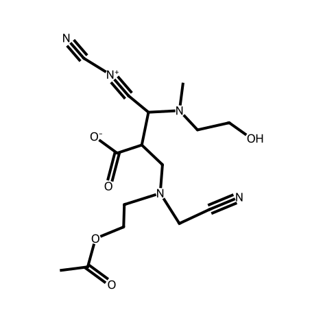 CC(=O)OCCN(CC#N)CC(C(=O)[O-])C(C#[N+]C#N)N(C)CCO